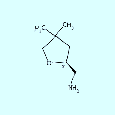 CC1(C)CO[C@H](CN)C1